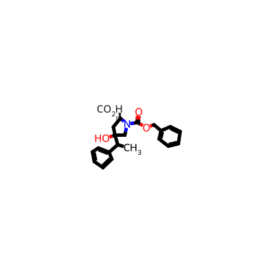 CC(c1ccccc1)C1(O)C[C@@H](C(=O)O)N(C(=O)OCc2ccccc2)C1